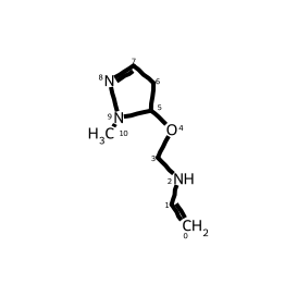 C=CNCOC1CC=NN1C